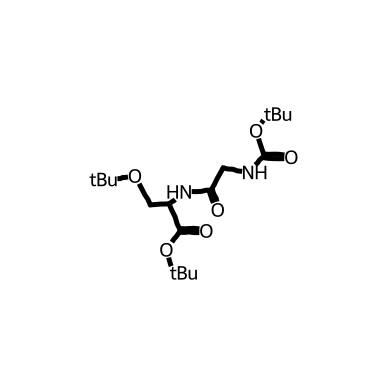 CC(C)(C)OCC(NC(=O)CNC(=O)OC(C)(C)C)C(=O)OC(C)(C)C